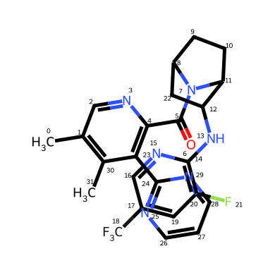 Cc1cnc(C(=O)N2C3CCC2C(Nc2ncc(C(F)(F)F)cc2F)C3)c(-c2ncccn2)c1C